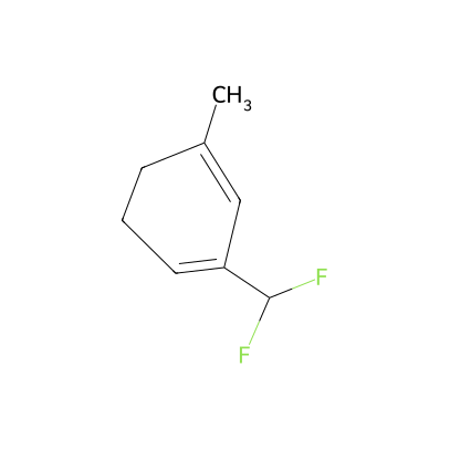 CC1=CC(C(F)F)=CCC1